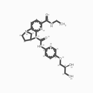 CCNC(=O)c1ccc2c(n1)N(C(=O)Nc1ccc(OC[C@@H](O)CO)cn1)C1CCN2C1